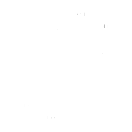 O=C(O)C(=Cc1ccccc1C=C(C(=O)O)C(=O)O)C(=O)O